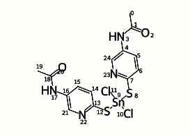 CC(=O)Nc1ccc([S][Sn]([Cl])([Cl])[S]c2ccc(NC(C)=O)cn2)nc1